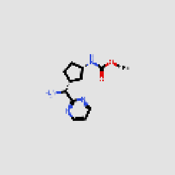 CC(C)(C)OC(=O)N[C@H]1CC[C@@H](C(N)c2ncccn2)C1